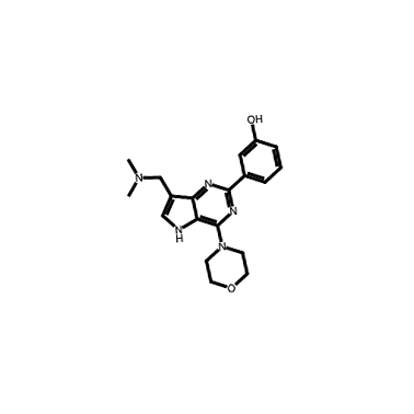 CN(C)Cc1c[nH]c2c(N3CCOCC3)nc(-c3cccc(O)c3)nc12